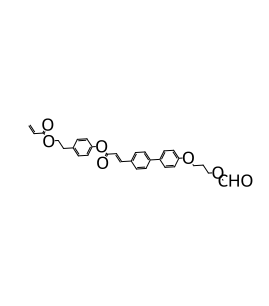 C=CC(=O)OCCc1ccc(OC(=O)/C=C/c2ccc(-c3ccc(OCCCOC=O)cc3)cc2)cc1